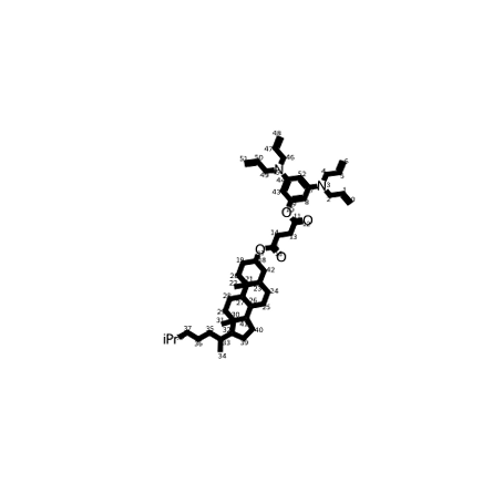 C=CCN(CC=C)c1cc(OC(=O)CCC(=O)OC2CCC3(C)C(CCC4C3CCC3(C)C(C(C)CCCC(C)C)CCC43)C2)cc(N(CC=C)CC=C)c1